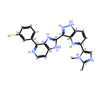 Cc1ncc(-c2ccc3[nH]nc(-c4nc5c(-c6cccc(F)c6)nccc5[nH]4)c3n2)n1C